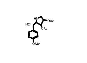 COc1ccc(CC2NCC(OC(C)=O)C2OC(C)=O)cc1.Cl